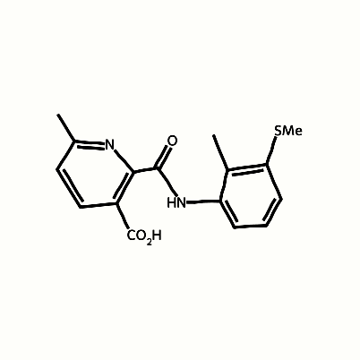 CSc1cccc(NC(=O)c2nc(C)ccc2C(=O)O)c1C